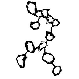 c1ccc(-c2ccc(-c3nc(-c4ccc(-c5cccc6c5oc5c6ccc6c7ccccc7n(-c7ccccc7)c65)cc4)nc(-c4cccc(-c5ccccc5)c4)n3)cc2)cc1